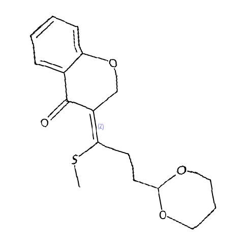 CS/C(CCC1OCCCO1)=C1/COc2ccccc2C1=O